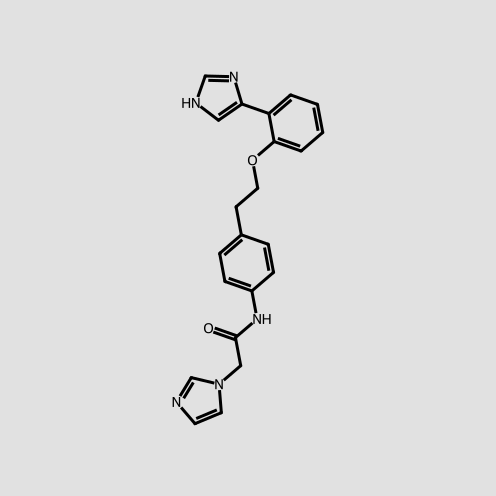 O=C(Cn1ccnc1)Nc1ccc(CCOc2ccccc2-c2c[nH]cn2)cc1